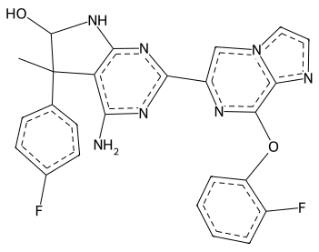 CC1(c2ccc(F)cc2)c2c(N)nc(-c3cn4ccnc4c(Oc4ccccc4F)n3)nc2NC1O